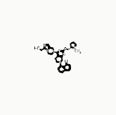 CN1CCC[C@H]1COc1nc2c(c(N3CCn4c(cnc4CO)C3)n1)CCN(c1cccc3cccc(Cl)c13)C2